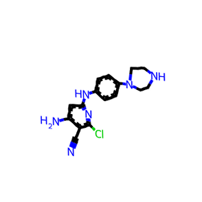 N#Cc1c(N)cc(Nc2ccc(N3CCNCC3)cc2)nc1Cl